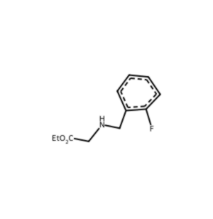 CCOC(=O)CNCc1ccccc1F